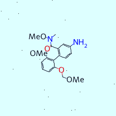 COCOc1cccc(OC)c1-c1ccc(N)cc1C(=O)N(C)OC